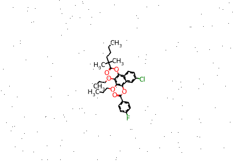 CCCCC(C)(C)C(=O)Oc1c(OCCC)c(OCCC)c(OC(=O)c2ccc(F)cc2)c2cc(Cl)ccc12